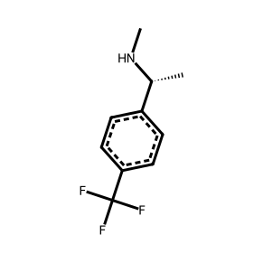 CN[C@H](C)c1ccc(C(F)(F)F)cc1